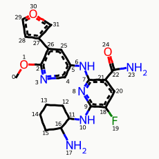 COc1ncc(Nc2nc(NC3CCCCC3N)c(F)cc2C(N)=O)cc1-c1ccoc1